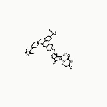 Cc1ccc(-c2c(C)noc2C)cc1N(CC1CCN(Cc2ccc3c(c2)C(=O)N(N2CCC(=O)NC2=O)C3=O)CC1)c1ccc(C2(C#N)CC2)cc1